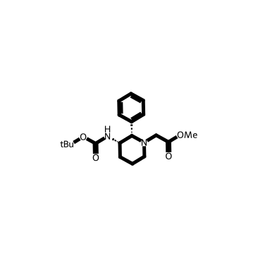 COC(=O)CN1CCC[C@H](NC(=O)OC(C)(C)C)[C@@H]1c1ccccc1